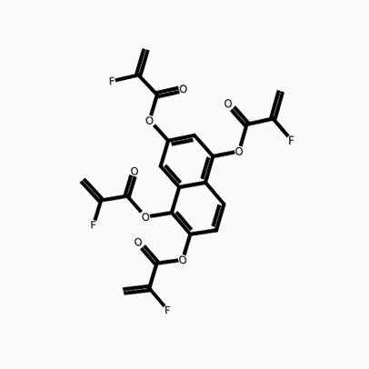 C=C(F)C(=O)Oc1cc(OC(=O)C(=C)F)c2ccc(OC(=O)C(=C)F)c(OC(=O)C(=C)F)c2c1